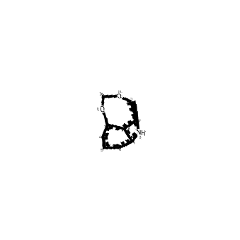 [c]1c2[nH]c3cccc(c13)OCO2